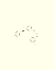 CC(=O)Nc1cccc(S(C)(=O)=NC(=O)c2cncc(C#Cc3ccc(F)c(C)c3)c2)c1